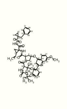 C=CC1CC1(NC(=O)C1CC(Oc2cc(-c3ccccc3)nc3cc(OC)ccc23)CN1C(=O)C(NC(=O)OC(C)(C)C)C(C)(C)C)C(=O)NS(=O)(=O)C1(Cc2ccccc2)CC1